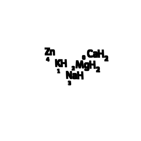 [CaH2].[KH].[MgH2].[NaH].[Zn]